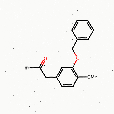 COc1ccc(CC(=O)C(C)C)cc1OCc1ccccc1